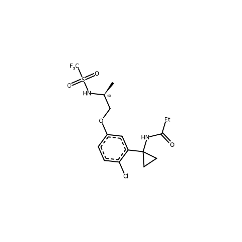 CCC(=O)NC1(c2cc(OC[C@H](C)NS(=O)(=O)C(F)(F)F)ccc2Cl)CC1